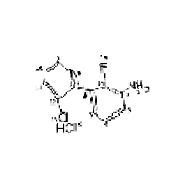 Cl.Nc1cccc(-c2ncccc2Cl)c1F